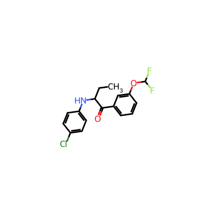 CCC(Nc1ccc(Cl)cc1)C(=O)c1cccc(OC(F)F)c1